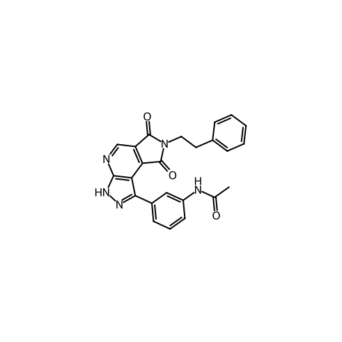 CC(=O)Nc1cccc(-c2n[nH]c3ncc4c(c23)C(=O)N(CCc2ccccc2)C4=O)c1